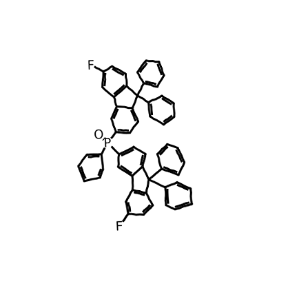 O=P(c1ccccc1)(c1ccc2c(c1)-c1cc(F)ccc1C2(c1ccccc1)c1ccccc1)c1ccc2c(c1)-c1cc(F)ccc1C2(c1ccccc1)c1ccccc1